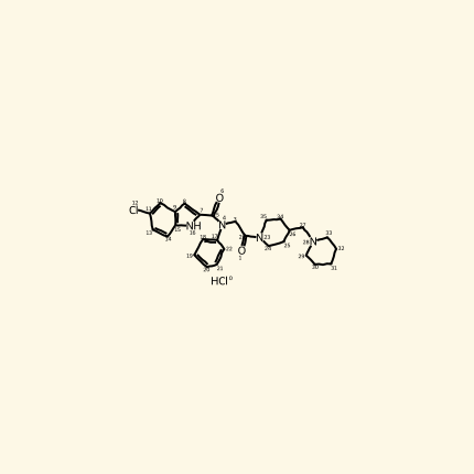 Cl.O=C(CN(C(=O)c1cc2cc(Cl)ccc2[nH]1)c1ccccc1)N1CCC(CN2CCCCC2)CC1